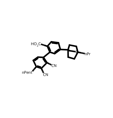 CCCCCc1ccc(-c2cc(C34CCC(CCC)(CC3)CC4)ccc2C(=O)O)c(C#N)c1C#N